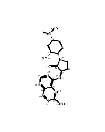 CCC[C@@H]1C[C@H](N(C)C(C)C)CC[C@@H]1N1CCC(Nc2ncnc3cnc(C(C)(C)C)nc23)C1=O